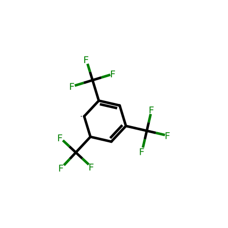 FC(F)(F)C1=CC(C(F)(F)F)=CC(C(F)(F)F)[CH]1